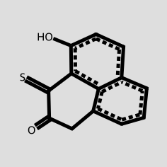 O=C1Cc2cccc3ccc(O)c(c23)C1=S